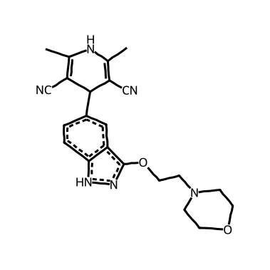 CC1=C(C#N)C(c2ccc3[nH]nc(OCCN4CCOCC4)c3c2)C(C#N)=C(C)N1